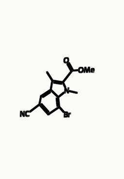 COC(=O)c1c(C)c2cc(C#N)cc(Br)c2n1C